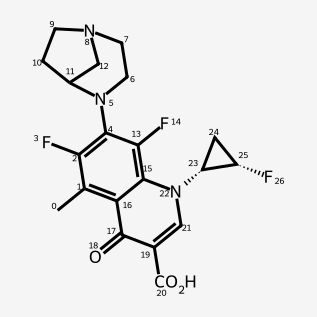 Cc1c(F)c(N2CCN3CCC2C3)c(F)c2c1c(=O)c(C(=O)O)cn2[C@@H]1C[C@@H]1F